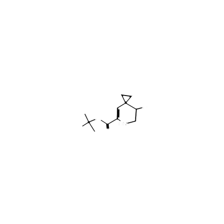 CC(C)(C)OC(=O)C1=CC2(CC2)C(O)CN1